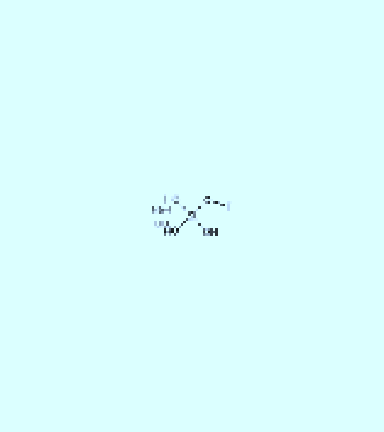 O[Si](O)(O)OF.[LiH].[NaH]